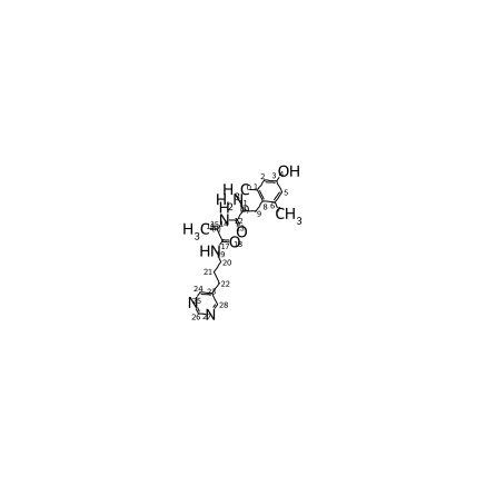 Cc1cc(O)cc(C)c1C[C@H](N)C(=O)N[C@H](C)C(=O)NCCCc1cncnc1